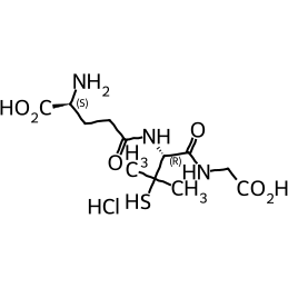 CC(C)(S)[C@H](NC(=O)CC[C@H](N)C(=O)O)C(=O)NCC(=O)O.Cl